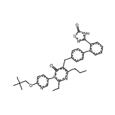 CCCc1nc(CC)n(-c2ccc(OCC(C)(C)C)nc2)c(=O)c1Cc1ccc(-c2ccccc2-c2noc(=O)[nH]2)cc1